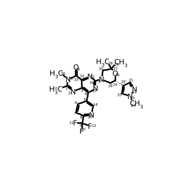 Cc1nc2c(-c3ccc(C(F)(F)F)nc3)nc(N3C[C@@H](c4cnn(C)c4)OC(C)(C)C3)nc2c(=O)n1C